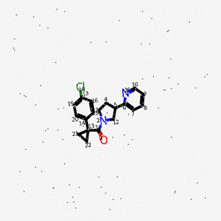 O=C(N1CCC(c2ccccn2)C1)C1(c2ccc(Cl)cc2)CC1